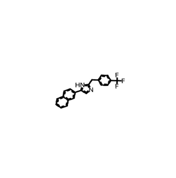 FC(F)(F)c1ccc(Cc2ncc(-c3ccc4ccccc4c3)[nH]2)cc1